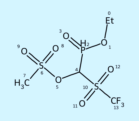 CCO[PH](=O)C(OS(C)(=O)=O)S(=O)(=O)C(F)(F)F